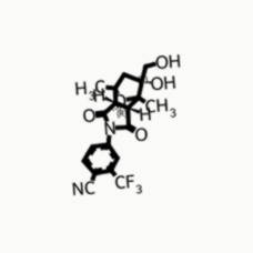 CC12C[C@@](O)(CO)C(C)(O1)[C@@H]1C(=O)N(c3ccc(C#N)c(C(F)(F)F)c3)C(=O)[C@@H]12